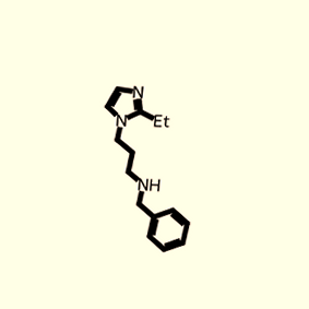 CCc1nccn1CCCNCc1ccccc1